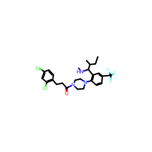 CCC(C)C(NC)c1cc(C(F)(F)F)ccc1N1CCN(C(=O)CCc2ccc(Cl)cc2Cl)CC1